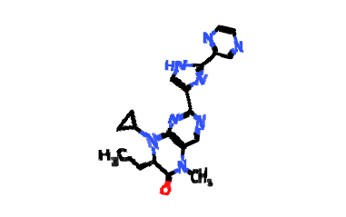 CC[C@@H]1C(=O)N(C)c2cnc(-c3c[nH]c(-c4cnccn4)n3)nc2N1C1CC1